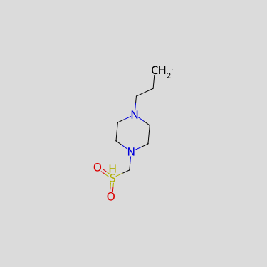 [CH2]CCN1CCN(C[SH](=O)=O)CC1